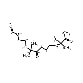 CC(=O)C(C)(C)OCCCC(=O)C(C)(C)OCCOC=O